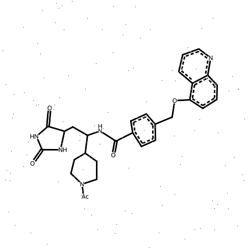 CC(=O)N1CCC(C(CC2NC(=O)NC2=O)NC(=O)c2ccc(COc3cccc4ncccc34)cc2)CC1